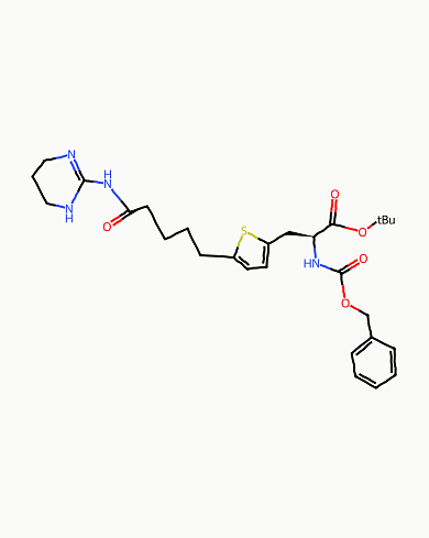 CC(C)(C)OC(=O)[C@H](Cc1ccc(CCCCC(=O)NC2=NCCCN2)s1)NC(=O)OCc1ccccc1